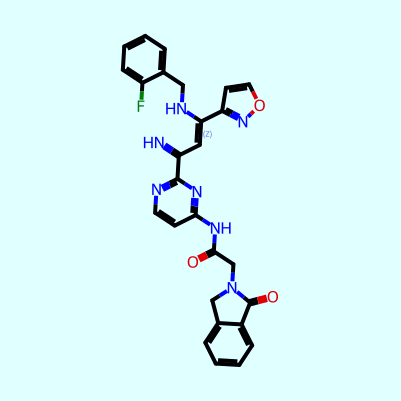 N=C(/C=C(\NCc1ccccc1F)c1ccon1)c1nccc(NC(=O)CN2Cc3ccccc3C2=O)n1